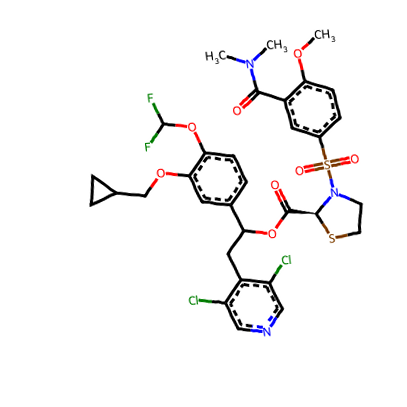 COc1ccc(S(=O)(=O)N2CCS[C@H]2C(=O)OC(Cc2c(Cl)cncc2Cl)c2ccc(OC(F)F)c(OCC3CC3)c2)cc1C(=O)N(C)C